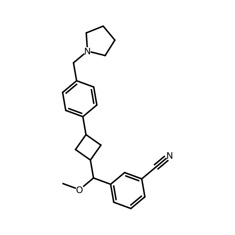 COC(c1cccc(C#N)c1)C1CC(c2ccc(CN3CCCC3)cc2)C1